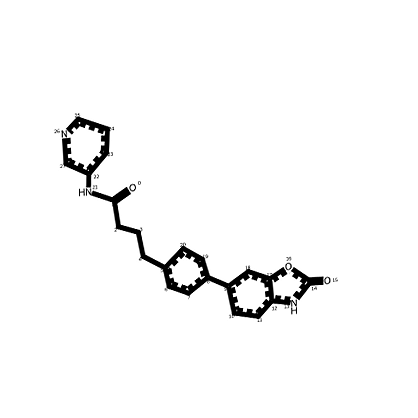 O=C(CCCc1ccc(-c2ccc3[nH]c(=O)oc3c2)cc1)Nc1cccnc1